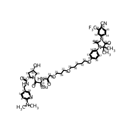 CN(C)c1ccc(CNC(=O)[C@@H]2C[C@@H](O)CN2C(=O)C(NC(=O)COCCCOCCCCCOc2ccc(N3C(=S)N(c4ccc(C#N)c(C(F)(F)F)c4)C(=O)C3(C)C)cc2)C(C)(C)C)cn1